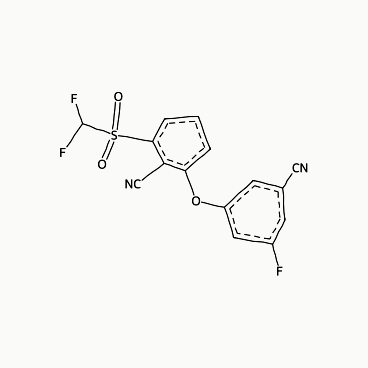 N#Cc1cc(F)cc(Oc2cccc(S(=O)(=O)C(F)F)c2C#N)c1